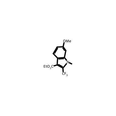 CCOC(=O)c1c(C(F)(F)F)n(C)c2cc(OC)ccc12